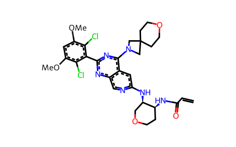 C=CC(=O)N[C@H]1CCOC[C@H]1Nc1cc2c(N3CC4(CCOCC4)C3)nc(-c3c(Cl)c(OC)cc(OC)c3Cl)nc2cn1